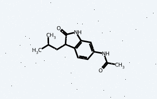 CC(=O)Nc1ccc2c(c1)NC(=O)C2CC(C)C